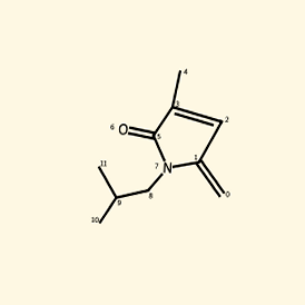 C=C1C=C(C)C(=O)N1CC(C)C